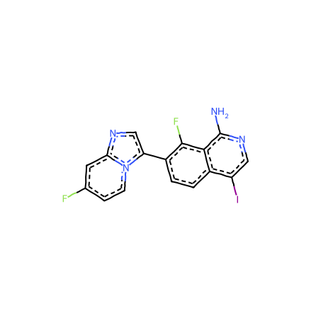 Nc1ncc(I)c2ccc(-c3cnc4cc(F)ccn34)c(F)c12